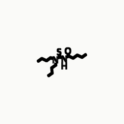 CCCCC(=O)NC(=S)N(CCCC)CCCC